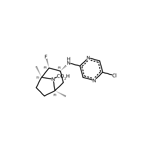 C[C@@]12CC[C@@](C)([C@H](F)[C@H](Nc3cnc(Cl)cn3)C1)N2C(=O)O